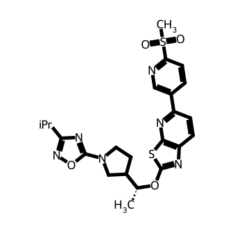 CC(C)c1noc(N2CCC([C@@H](C)Oc3nc4ccc(-c5ccc(S(C)(=O)=O)nc5)nc4s3)C2)n1